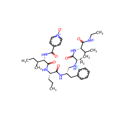 CCC[C@H](NC(=O)[C@@H](NC(=O)c1cc[n+]([O-])cc1)[C@@H](C)CC)C(=O)N[C@H](CN[C@@H](C)C(=O)N[C@H](C(=O)NCC)C(C)C)Cc1ccccc1F